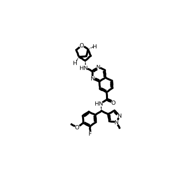 COc1ccc([C@H](NC(=O)c2ccc3cnc(N[C@H]4C[C@H]5C[C@@H]4CO5)nc3c2)c2cnn(C)c2)cc1F